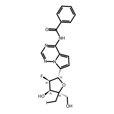 O=C(Nc1ncnn2c([C@@H]3O[C@@](CO)(CI)[C@@H](O)[C@H]3F)ccc12)c1ccccc1